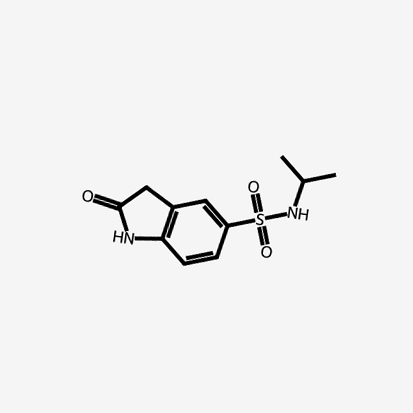 CC(C)NS(=O)(=O)c1ccc2c(c1)CC(=O)N2